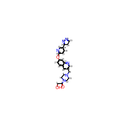 O=C(CO)N1CCN(Cc2cnc3cc(Oc4ccc(C5=NN=CC5)cn4)ccc3c2)CC1